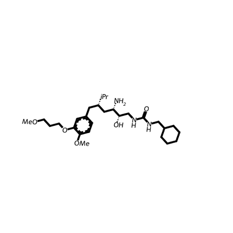 COCCCOc1cc(C[C@@H](C[C@H](N)[C@@H](O)CNC(=O)NCC2CCCCC2)C(C)C)ccc1OC